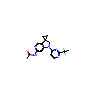 CC(=O)Nc1cc2c(cn1)C1(CC1)CN2c1ccnc(C(C)(F)F)n1